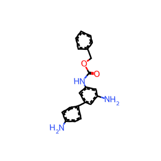 Nc1ccc(-c2cc(N)cc(NC(=O)OCc3ccccc3)c2)cc1